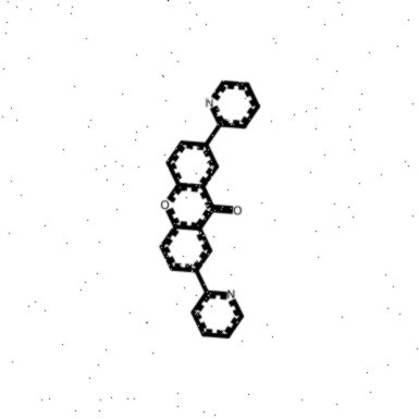 O=c1c2cc(-c3ccccn3)ccc2oc2ccc(-c3ccccn3)cc12